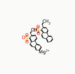 C=Cc1ccc2c(ccc3ccccc32)c1S(=O)(=O)[O-].C=Cc1ccc2c(ccc3ccccc32)c1S(=O)(=O)[O-].[Mg+2]